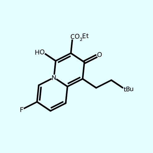 CCOC(=O)c1c(O)n2cc(F)ccc2c(CCC(C)(C)C)c1=O